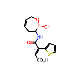 O=C(O)/C=C(/C(=O)NC1CC=CCOB1O)c1cccs1